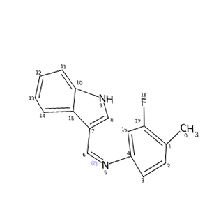 Cc1ccc(/N=C\c2c[nH]c3ccccc23)cc1F